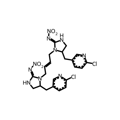 O=[N+]([O-])N=C1NCC(Cc2ccc(Cl)nc2)N1CC=CCN1C(=N[N+](=O)[O-])NCC1Cc1ccc(Cl)nc1